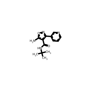 CC(C)(C)NC(=O)c1c(-c2cccnc2)noc1N